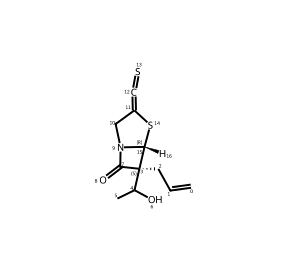 C=CC[C@]1(C(C)O)C(=O)N2CC(=C=S)S[C@@H]21